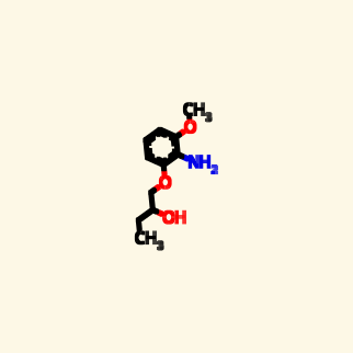 CCC(O)COc1cccc(OC)c1N